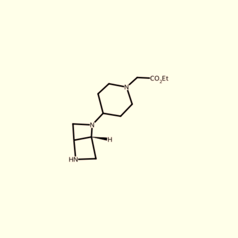 CCOC(=O)CN1CCC(N2CC3NC[C@H]32)CC1